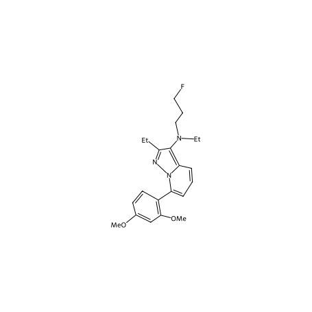 CCc1nn2c(-c3ccc(OC)cc3OC)cccc2c1N(CC)CCCF